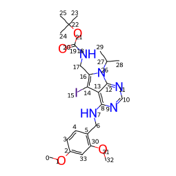 COc1ccc(CNc2ncnc3c2c(I)c(CNC(=O)OC(C)(C)C)n3C(C)C)c(OC)c1